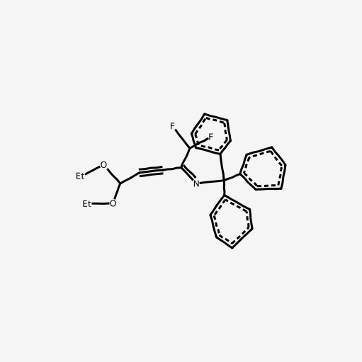 CCOC(C#CC(=NC(c1ccccc1)(c1ccccc1)c1ccccc1)C(F)F)OCC